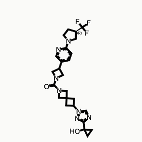 O=C(N1CC(c2ccc(N3CC[C@@H](C(F)(F)F)C3)nc2)C1)N1CC2(CC(n3cnc(C4(O)CC4)n3)C2)C1